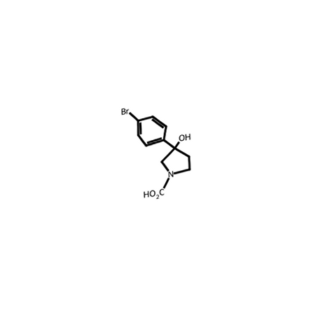 O=C(O)N1CCC(O)(c2ccc(Br)cc2)C1